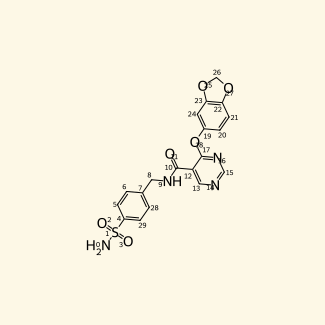 NS(=O)(=O)c1ccc(CNC(=O)c2cncnc2Oc2ccc3c(c2)OCO3)cc1